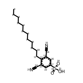 CCCCCCCCCCCCc1c(C#N)cc(S(=O)(=O)O)cc1C#N